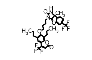 CCCc1cc2c(C(F)(F)F)cc(=O)oc2c(CCC)c1OCCCCN1C(=O)NC(C)(c2ccc(C(F)(F)F)cc2)C1=O